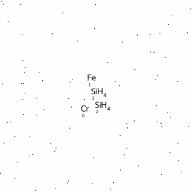 [Cr].[Fe].[SiH4].[SiH4]